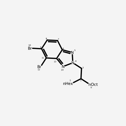 CCCCCCCCC(CCCCCC)Cn1nc2ccc(Br)c(Br)c2n1